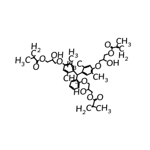 C=C(C)C(=O)OCC(O)COc1cc(C)c(C(c2cc(C)c(OCC(O)COC(=O)C(=C)C)cc2C)c2ccccc2OCC(O)COC(=O)C(=C)C)cc1C